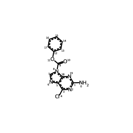 Nc1nc(Cl)c2ncn(C(=O)Oc3ccccc3)c2n1